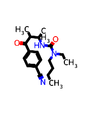 CCCCN(CC)C(=O)NC(C)C(C)C(=O)c1ccc(C#N)cc1